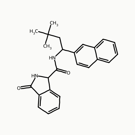 CC(C)(C)CC(NC(=O)C1NC(=O)c2ccccc21)c1ccc2ccccc2c1